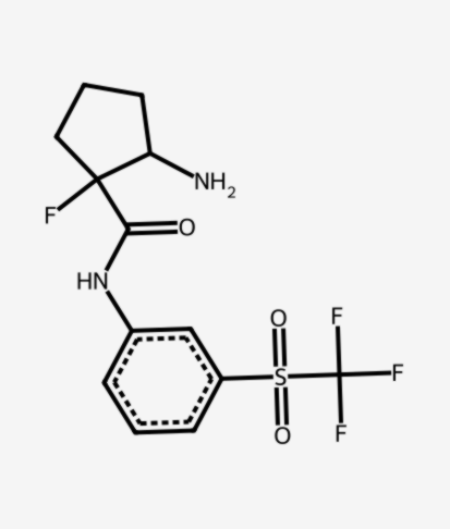 NC1CCCC1(F)C(=O)Nc1cccc(S(=O)(=O)C(F)(F)F)c1